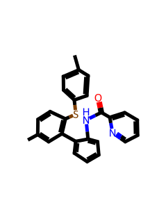 Cc1ccc(Sc2ccc(C)cc2-c2ccccc2NC(=O)c2ccccn2)cc1